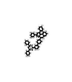 c1ccc(-c2cc(-c3ccccc3)nc(-c3cccc(-c4ccc(-c5cc6ccccc6c6c(-c7ccccc7)cc(-c7ccccc7)nc56)cc4)c3)n2)cc1